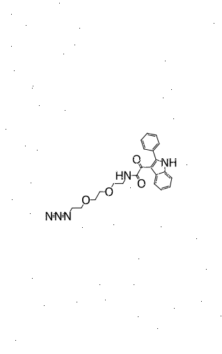 [N-]=[N+]=NCCOCCOCCNC(=O)C(=O)c1c(-c2ccccc2)[nH]c2ccccc12